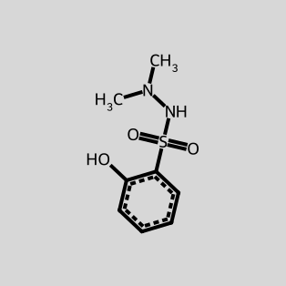 CN(C)NS(=O)(=O)c1ccccc1O